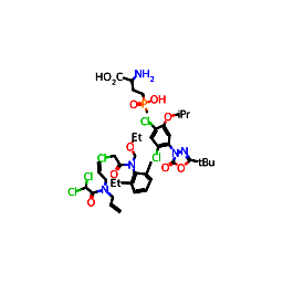 C=CCN(CC=C)C(=O)C(Cl)Cl.CC(C)Oc1cc(-n2nc(C(C)(C)C)oc2=O)c(Cl)cc1Cl.CCOCN(C(=O)CCl)c1c(C)cccc1CC.CP(=O)(O)CCC(N)C(=O)O